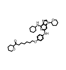 O=C(CCCCCCOc1ccc(Nc2cc3c(ncn3C3CCCCO3)c(NC3CCCCC3)n2)cc1)C1CCCCO1